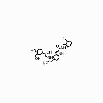 C[C@H](Cc1ccc2[nH]c(C(=O)NCc3ccccc3Cl)cc2c1)NC[C@@H](O)c1ccc(O)c(CO)c1